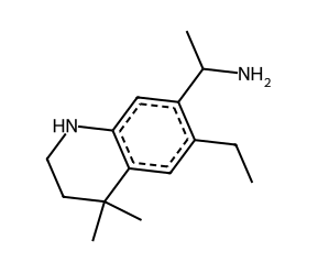 CCc1cc2c(cc1C(C)N)NCCC2(C)C